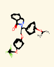 CC(C)Oc1ccc(C(COc2ccc(OC(F)(F)F)cc2)N2Cc3ccccc3C2=O)cc1